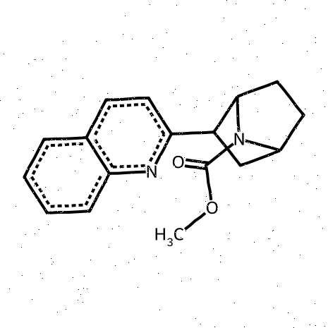 COC(=O)N1C2CCC1C(c1ccc3ccccc3n1)C2